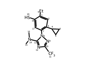 CCc1cc(C2CC2)c(-n2nc(C(F)(F)F)nc2N(C)C)cc1S